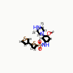 COc1ccc(NS(=O)(=O)c2ccc(-c3ccsc3)s2)cc1N1C[C@@H](C)N[C@@H](C)C1